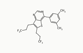 Cc1cc(C)cc(-c2ncnc3c(CCC(F)(F)F)c(CCC(F)(F)F)sc23)c1